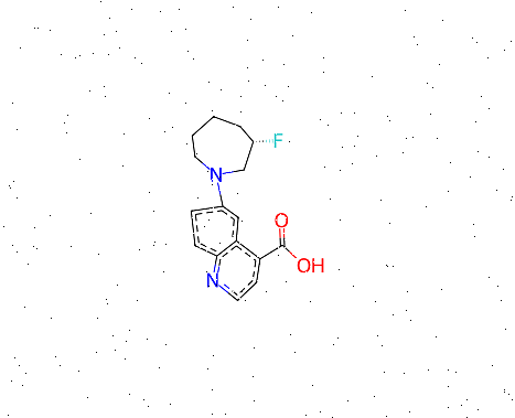 O=C(O)c1ccnc2ccc(N3CCCC[C@H](F)C3)cc12